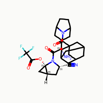 N#C[C@@H]1C[C@@H]2C[C@@]2(OC(=O)C(F)(F)F)N1C(=O)[C@@H](N)C1CC2CCC(C1)N2C(=O)C12CC3CC(CC(C3)C1)C2